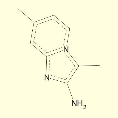 Cc1ccn2c(C)c(N)nc2c1